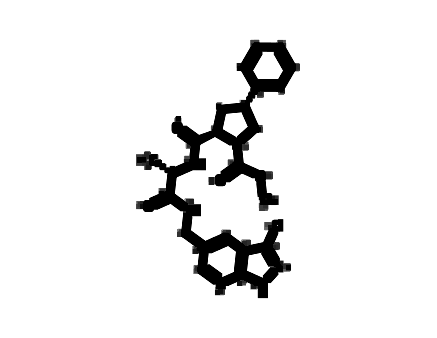 C[C@H](NC(=O)[C@H]1C[C@H](c2ccccc2)CN1C(=O)OC(C)(C)C)C(=O)NCc1cnc2[nH]nc(Cl)c2c1